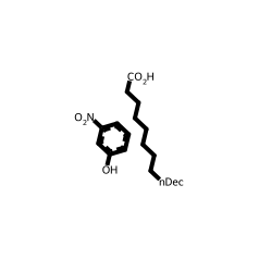 CCCCCCCCCCCCCCCCCC(=O)O.O=[N+]([O-])c1cccc(O)c1